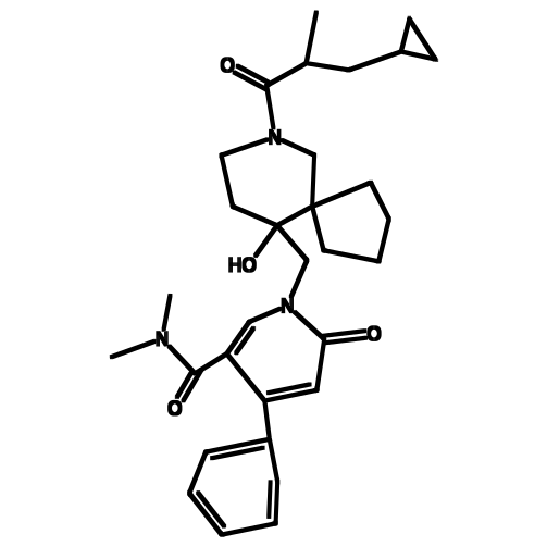 CC(CC1CC1)C(=O)N1CCC(O)(Cn2cc(C(=O)N(C)C)c(-c3ccccc3)cc2=O)C2(CCCC2)C1